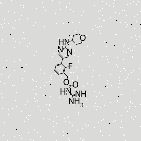 N=C(N)NC(=O)OCc1cccc(-c2cnc(NC3CCOCC3)nc2)c1F